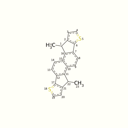 CC1c2ccsc2-c2ccc3c4c(ccc3c21)-c1sccc1C4C